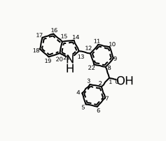 OC(c1ccccc1)c1cccc(-c2cc3ccccc3[nH]2)c1